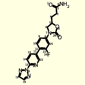 NC(=O)CCC1CN(c2ccc(-c3ccc(-n4nccn4)nc3)c(F)c2)C(=O)O1